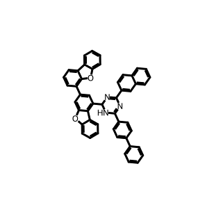 c1ccc(-c2ccc(C3=NC(c4ccc5ccccc5c4)=NC(c4cc(-c5cccc6c5oc5ccccc56)cc5oc6ccccc6c45)N3)cc2)cc1